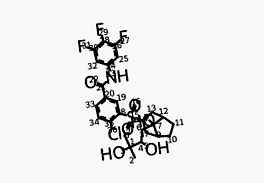 CC(C)(O)C(O)CC1(O)C2CCC1CC(S(=O)(=O)c1cc(C(=O)Nc3cc(F)c(F)c(F)c3)ccc1Cl)C2